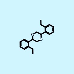 CCc1ccccc1C1COC(c2ccccc2CC)CO1